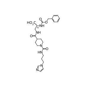 O=C(N[C@@H](CNC(=O)C1CCN(C(=O)NCCCn2ccnc2)CC1)C(=O)O)OCc1ccccc1